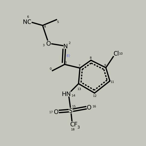 C/C(=N\OC(C)C#N)c1cc(Cl)ccc1NS(=O)(=O)C(F)(F)F